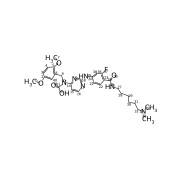 COc1ccc(OC)c(CN(C(=O)O)c2ccnc(Nc3ccc(C(=O)NCCCCCCN(C)C)c(F)c3)n2)c1